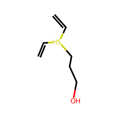 C=C[SH](C=C)CCCO